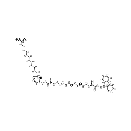 O=CC(CCC(=O)NCCCOCCOCCOCCCNC(=O)OCC1c2ccccc2-c2ccccc21)NC(=O)CCCCCCCCCCCCC(=O)O